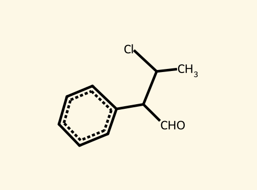 CC(Cl)C(C=O)c1ccccc1